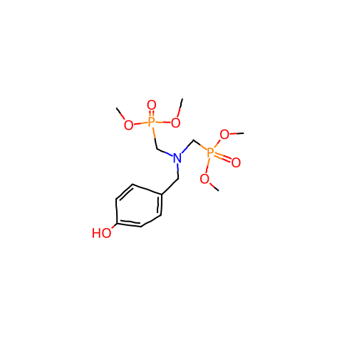 COP(=O)(CN(Cc1ccc(O)cc1)CP(=O)(OC)OC)OC